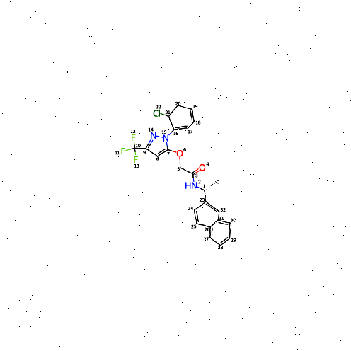 C[C@@H](NC(=O)COc1cc(C(F)(F)F)nn1C1=CC=CCC1Cl)c1ccc2ccccc2c1